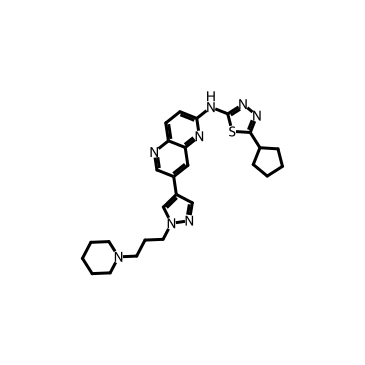 c1nc2ccc(Nc3nnc(C4CCCC4)s3)nc2cc1-c1cnn(CCCN2CCCCC2)c1